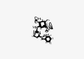 COc1cc(F)c([N+](=O)[O-])cc1Nc1nccc(N2Cc3ccccc3N2)n1